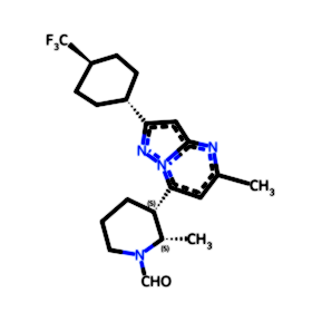 Cc1cc([C@H]2CCCN(C=O)[C@H]2C)n2nc([C@H]3CC[C@H](C(F)(F)F)CC3)cc2n1